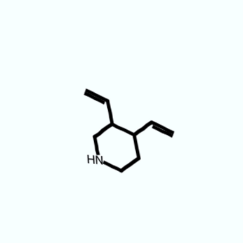 C=CC1CCNCC1C=C